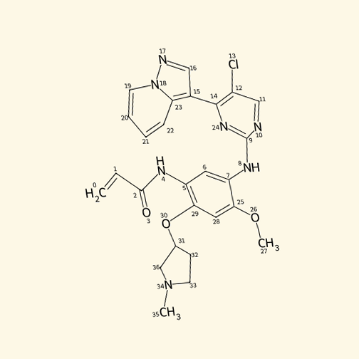 C=CC(=O)Nc1cc(Nc2ncc(Cl)c(-c3cnn4ccccc34)n2)c(OC)cc1OC1CCN(C)C1